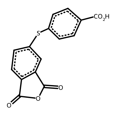 O=C(O)c1ccc(Sc2ccc3c(c2)C(=O)OC3=O)cc1